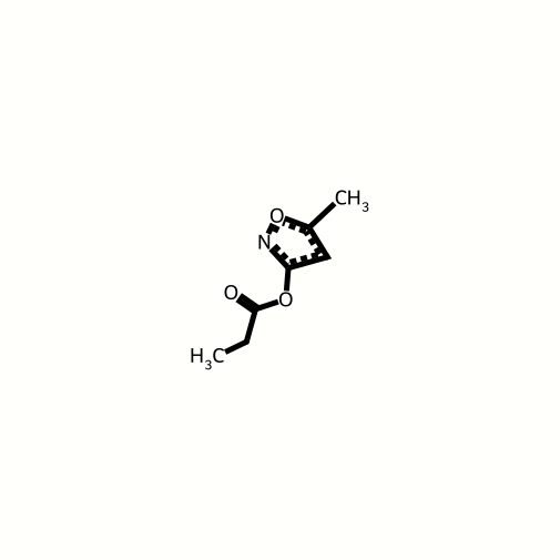 CCC(=O)Oc1cc(C)on1